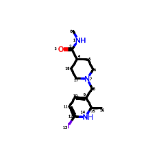 CNC(=O)C1CCN(CC2=CC=C(I)NC2C)CC1